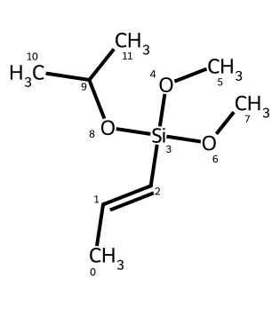 CC=C[Si](OC)(OC)OC(C)C